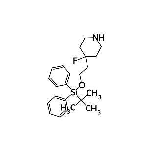 CC(C)(C)[Si](OCCC1(F)CCNCC1)(c1ccccc1)c1ccccc1